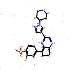 CS(=O)(=O)c1ccc(-c2cccc3ncc(-c4cnn(C5CCNCC5)c4)nc23)cc1F